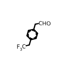 O=CCc1ccc(CC(F)(F)F)cc1